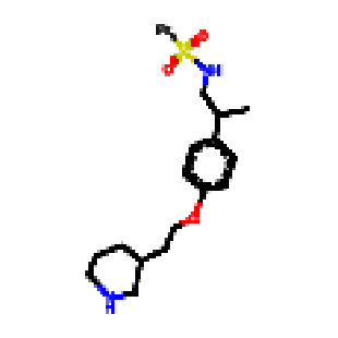 CC(CNS(=O)(=O)C(C)C)c1ccc(OCCC2CCCNC2)cc1